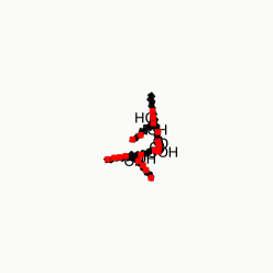 CCCCCCCCC(O)CN(CCCCCOC(=O)CC(C)(O)CC(=O)OCCCCCN(CC(O)CCCCCCCC)CC(O)CCCCCCCC)CC(O)CCCCCCCC